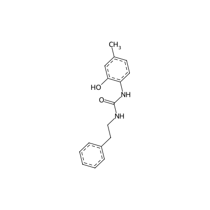 Cc1ccc(NC(=O)NCCc2ccccc2)c(O)c1